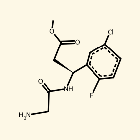 COC(=O)C[C@H](NC(=O)CN)c1cc(Cl)ccc1F